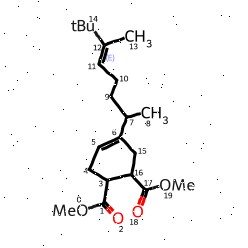 COC(=O)C1CC=C(C(C)CC/C=C(\C)C(C)(C)C)CC1C(=O)OC